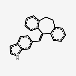 C(=C1c2ccccc2CCc2ccccc21)c1ccc2cc[nH]c2c1